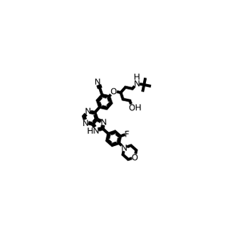 CC(C)(C)NCCC(CCO)Oc1ccc(-c2ncnc3[nH]c(-c4ccc(N5CCOCC5)c(F)c4)nc23)cc1C#N